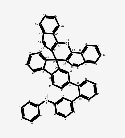 c1ccc(Nc2cccc(-c3ccccc3-c3ccc4c(c3)C3(c5ccccc5-4)c4ccc5ccccc5c4Oc4c3ccc3ccccc43)c2)cc1